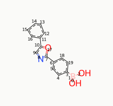 OB(O)c1ccc(-c2ncc(-c3ccccc3)o2)cc1